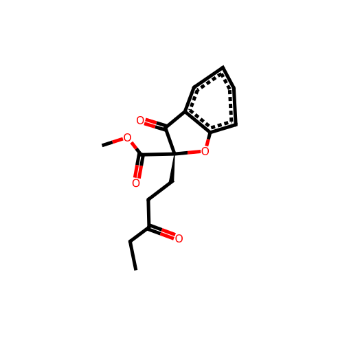 CCC(=O)CC[C@]1(C(=O)OC)Oc2ccccc2C1=O